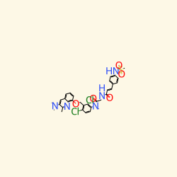 Cc1nc2c(OCc3c(Cl)ccc(N(C)C(=O)CNC(=O)C=Cc4ccc(NS(C)(=O)=O)cc4)c3Cl)cccc2cc1N(C)C